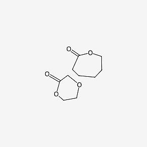 O=C1CCCCCO1.O=C1COCCO1